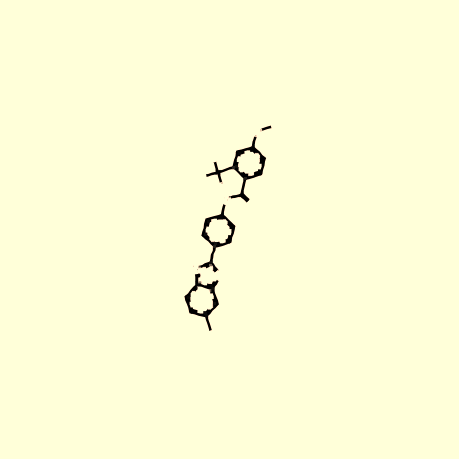 COc1ccc(C(=O)Nc2ccc(-c3nc4ccc(C)cc4s3)cc2)c(C(F)(F)F)c1